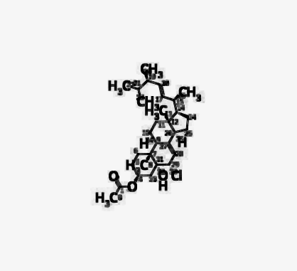 CC(=O)O[C@H]1CC[C@]2(C)[C@H]3CC[C@]4(C)[C@@H]([C@H](C)C=C[C@H](C)C(C)C)CC[C@H]4C3=C[C@H](Cl)[C@@]2(O)C1